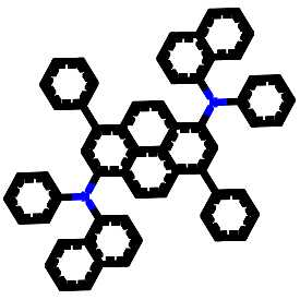 c1ccc(-c2cc(N(c3ccccc3)c3cccc4ccccc34)c3ccc4c(-c5ccccc5)cc(N(c5ccccc5)c5cccc6ccccc56)c5ccc2c3c45)cc1